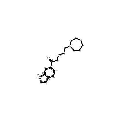 O=C(CNCCN1CCCCCC1)c1ccc2[c]c[nH]c2c1